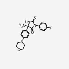 CC1(c2ccc(N3CCOCC3)cc2)NC(=S)N(c2ccc(F)cc2)C1=O